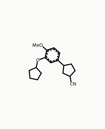 COc1ccc(C2CCC(C#N)C2)cc1OC1CCCC1